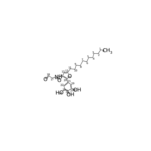 CCCCCCCCCCCCc1cc(ONCC=O)c(-c2cc(O)c(O)c(O)c2)o1